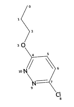 CCCOc1ccc(Cl)nn1